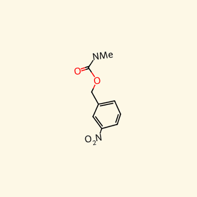 [CH2]NC(=O)OCc1cccc([N+](=O)[O-])c1